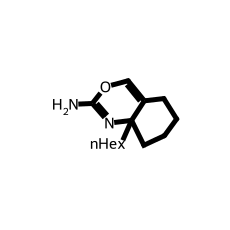 CCCCCCC12CCCCC1=COC(N)=N2